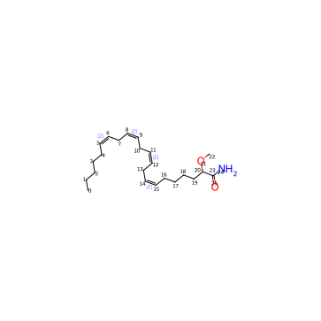 CCCCC/C=C\C/C=C\C/C=C\C/C=C\CCCCC(OC)C(N)=O